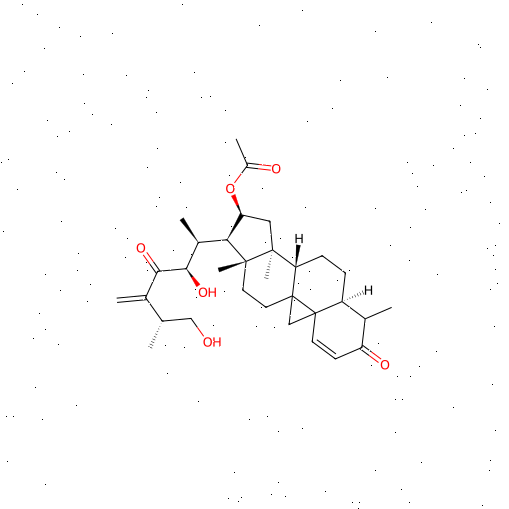 C=C(C(=O)[C@H](O)[C@@H](C)[C@H]1[C@@H](OC(C)=O)C[C@@]2(C)[C@@H]3CC[C@H]4C(C)C(=O)C=CC45CC35CC[C@]12C)[C@@H](C)CO